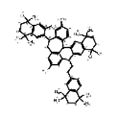 Cc1cc2c3c(c1)C(CCc1ccc4c(c1)C(C)(C)CCC4(C)C)c1cc4c(cc1B3c1ccc(C(C)(C)C)cc1C(c1cc3c(cc1C)C(C)(C)CCC3(C)C)C2)C(C)(C)CCC4(C)C